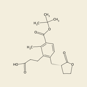 Cc1c(C(=O)OC(C)(C)C)ccc(C[C@H]2CCOC2=O)c1CCC(=O)O